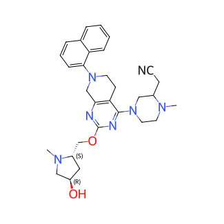 CN1CCN(c2nc(OC[C@@H]3C[C@@H](O)CN3C)nc3c2CCN(c2cccc4ccccc24)C3)CC1CC#N